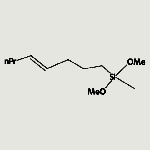 CCCC=CCCC[Si](C)(OC)OC